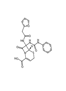 O=C(Cc1ccco1)NC1(NC(=O)Nc2ccccc2)C(=O)N2C(C(=O)O)=CCS[C@H]21